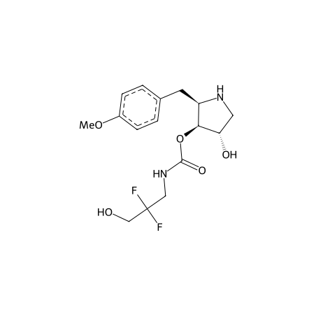 COc1ccc(C[C@H]2NC[C@H](O)[C@H]2OC(=O)NCC(F)(F)CO)cc1